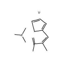 C=C(C)C(C)=CC1=CC=CC1.CP(C)C.[V]